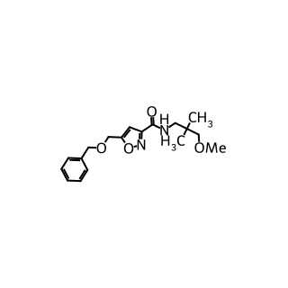 COCC(C)(C)CNC(=O)c1cc(COCc2ccccc2)on1